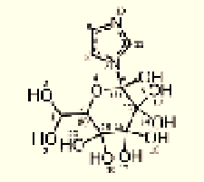 OC(O)[C@H]1O[C@](O)(n2ccnc2)C(O)(O)C(O)(O)C1(O)O